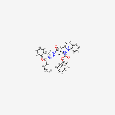 CC(CC1CCc2ccccc2N1)(NC(=O)OC1C2CC3CC(C2)CC1C3)C(=O)NCC(NC(=O)CCC(=O)O)c1ccccc1